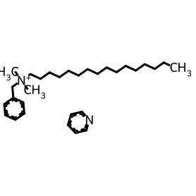 CCCCCCCCCCCCCCCC[N+](C)(C)Cc1ccccc1.c1ccncc1